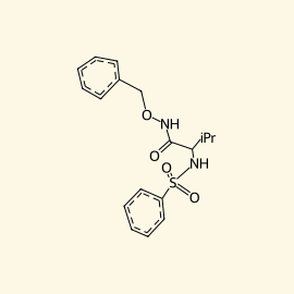 CC(C)C(NS(=O)(=O)c1ccccc1)C(=O)NOCc1ccccc1